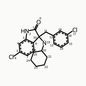 O=C1Nc2cc(Cl)ccc2C1(Cc1cccc(Cl)c1)[N]C1CCCCC1